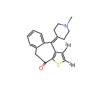 [2H]c1sc2c(c1[2H])C(=C1CCN(C)CC1)c1ccccc1CC2=O